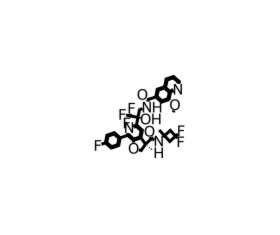 COc1cc(C(=O)NC[C@](O)(c2cc3c(c(-c4ccc(F)cc4)n2)OC[C@]3(C)C(=O)NC2(C)CC(F)(F)C2)C(F)(F)F)cc2cccnc12